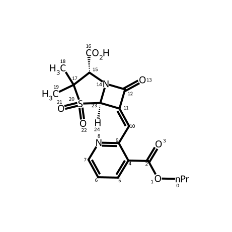 CCCOC(=O)c1cccnc1/C=C1/C(=O)N2[C@@H](C(=O)O)C(C)(C)S(=O)(=O)[C@H]12